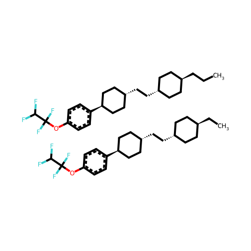 CCC[C@H]1CC[C@H](CC[C@H]2CC[C@H](c3ccc(OC(F)(F)C(F)F)cc3)CC2)CC1.CC[C@H]1CC[C@H](CC[C@H]2CC[C@H](c3ccc(OC(F)(F)C(F)F)cc3)CC2)CC1